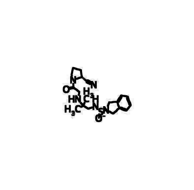 CC(C)(CN[S+]([O-])N1Cc2ccccc2C1)NCC(=O)N1CCC[C@H]1C#N